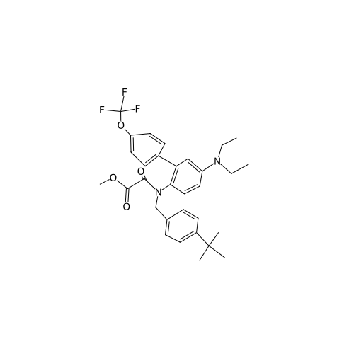 CCN(CC)c1ccc(N(Cc2ccc(C(C)(C)C)cc2)C(=O)C(=O)OC)c(-c2ccc(OC(F)(F)F)cc2)c1